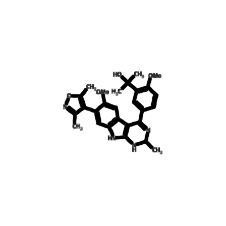 COc1cc2c3c([nH]c2cc1-c1c(C)noc1C)NC(C)N=C3c1ccc(OC)c(C(C)(C)O)c1